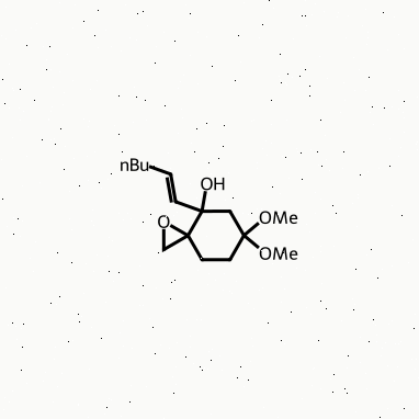 CCCC/C=C/C1(O)CC(OC)(OC)CCC12CO2